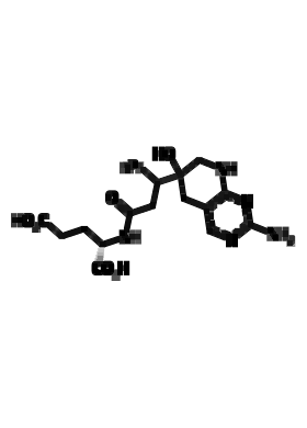 CCCC(CC(=O)N[C@@H](CCC(=O)O)C(=O)O)C1(O)CNc2nc(N)ncc2C1